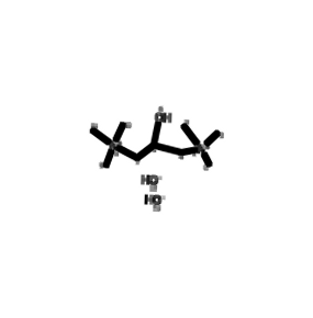 C[N+](C)(C)CC(O)C[N+](C)(C)C.[OH-].[OH-]